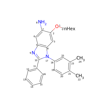 CCCCCCOc1cc2c(cc1N)nc(-c1ccccc1)n2-c1ccc(C)c(C)c1